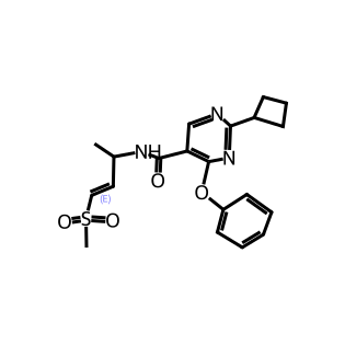 CC(/C=C/S(C)(=O)=O)NC(=O)c1cnc(C2CCC2)nc1Oc1ccccc1